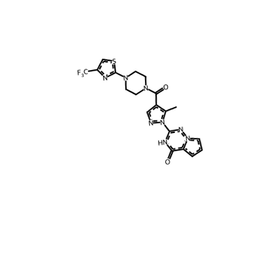 Cc1c(C(=O)N2CCN(c3nc(C(F)(F)F)cs3)CC2)cnn1-c1nn2cccc2c(=O)[nH]1